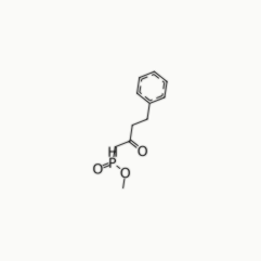 CO[PH](=O)CC(=O)CCc1ccccc1